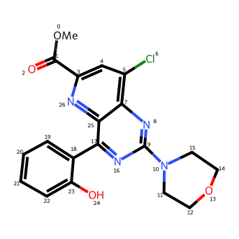 COC(=O)c1cc(Cl)c2nc(N3CCOCC3)nc(-c3ccccc3O)c2n1